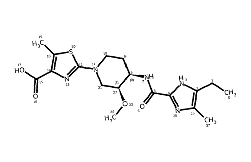 CCc1[nH]c(C(=O)N[C@@H]2CCN(c3nc(C(=O)O)c(C)s3)C[C@@H]2OC)nc1C